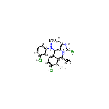 CCOC(=O)c1nc(Br)n2c1C(Nc1cccc(Cl)c1)C1=CC=C(Cl)C(C)C1=C2C